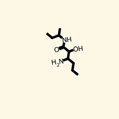 CCCC(N)C(O)C(=O)NC(C)CC